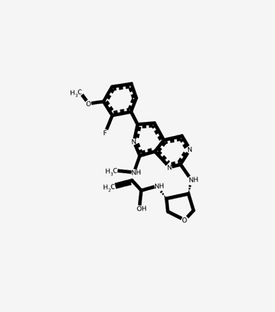 C=CC(O)N[C@H]1COC[C@H]1Nc1ncc2cc(-c3cccc(OC)c3F)nc(NC)c2n1